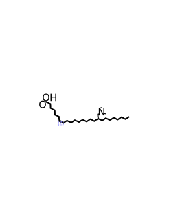 CCCCCCCCC(CCCCCCCC/C=C\CCCCCC(=O)O)CN(C)C